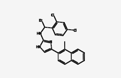 CCC(Nc1nc(-c2ccc3ccccc3c2C)c[nH]1)c1ccc(Cl)cc1Cl